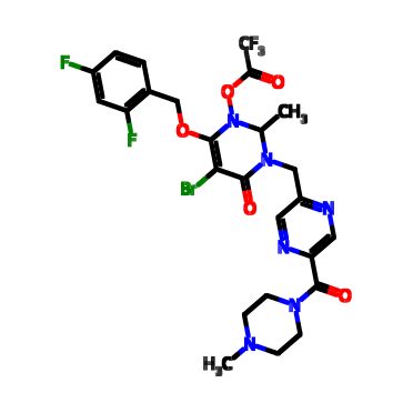 CC1N(Cc2cnc(C(=O)N3CCN(C)CC3)cn2)C(=O)C(Br)=C(OCc2ccc(F)cc2F)N1OC(=O)C(F)(F)F